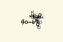 O=C(NN1CCCCC1)c1nn(-c2ccc(Cl)cc2Cl)c(-c2ccc(C#Cc3ccc(C(F)(F)F)cc3)s2)c1CNS(=O)(=O)NC1CC1